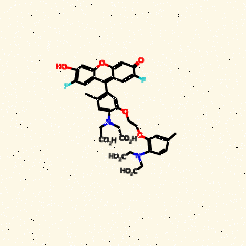 Cc1ccc(N(CC(=O)O)CC(=O)O)c(OCCOc2cc(-c3c4cc(F)c(=O)cc-4oc4cc(O)c(F)cc34)c(C)cc2N(CC(=O)O)CC(=O)O)c1